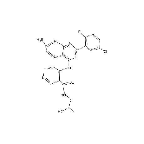 CC(O)CNC(=O)c1cnccc1Nc1nc(-c2cc(Cl)ccc2F)nc2nc(N)ccc12